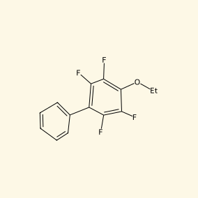 CCOc1c(F)c(F)c(-c2ccccc2)c(F)c1F